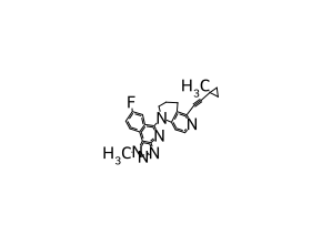 Cn1nnc2nc(N3CCCc4c3ccnc4C#CC3(C)CC3)c3cc(F)ccc3c21